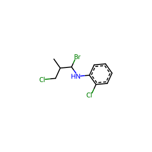 CC(CCl)C(Br)Nc1ccccc1Cl